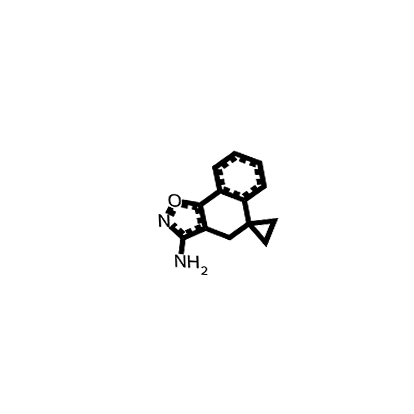 Nc1noc2c1CC1(CC1)c1ccccc1-2